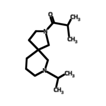 CC(C)C(=O)N1CCC2(CCCN(C(C)C)C2)C1